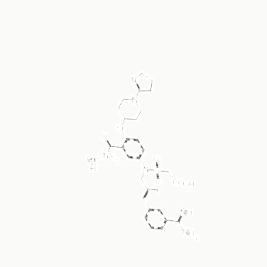 Cl.Cl.N=C(N)c1cccc(/C=C(\F)CN(c2ccc(OC3CCN(C4=NCCC4)CC3)c(C(N)=O)c2)S(=O)(=O)CC(=O)O)c1